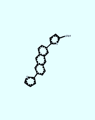 CCCCCCc1ccc(-c2ccc3cc4cc(-c5cccs5)ccc4cc3c2)s1